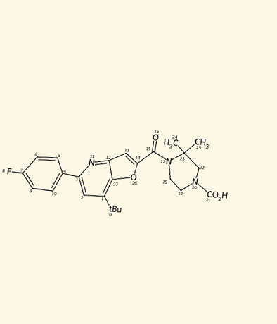 CC(C)(C)c1cc(-c2ccc(F)cc2)nc2cc(C(=O)N3CCN(C(=O)O)CC3(C)C)oc12